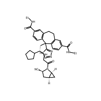 CCNC(=O)c1ccc2c(c1)CCc1cc(C(=O)NCC)ccc1C2(C[C@H](NCC(=O)N1[C@H](C#N)C[C@@H]2C[C@@H]21)C1CCCC1)c1nnn[nH]1